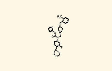 Cc1ccccc1CN1CC2C(C1)C2CN(C(=O)Oc1cccs1)c1ccc(N2CCOCC2)c(F)c1